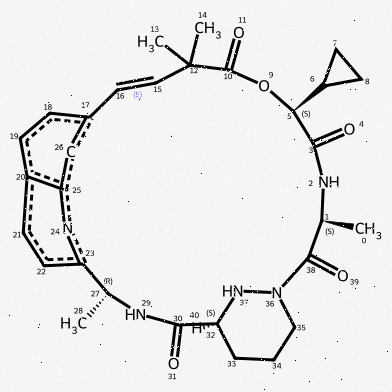 C[C@@H]1NC(=O)[C@H](C2CC2)OC(=O)C(C)(C)/C=C/c2ccc3ccc(nc3c2)[C@@H](C)NC(=O)[C@@H]2CCCN(N2)C1=O